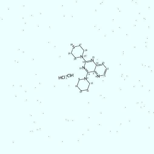 Cl.Cl.c1cnc2c(N3CCCCC3)nc(N3CCSCC3)nc2c1